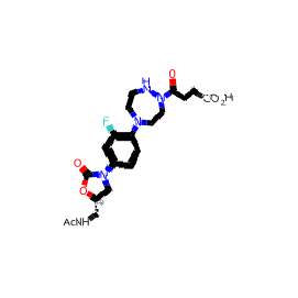 CC(=O)NC[C@H]1CN(c2ccc(N3CCNN(C(=O)CCC(=O)O)CC3)c(F)c2)C(=O)O1